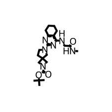 CNC(=O)CNc1nc(N2CCC3(CN(C(=O)OC(C)(C)C)C3)C2)nc2c1CCCC2